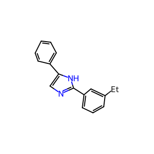 CCc1cccc(-c2ncc(-c3ccccc3)[nH]2)c1